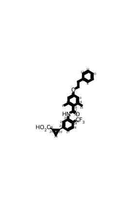 Cc1cc(OCCc2ccccc2)cc(C)c1C(=O)Nc1cc([C@H]2C[C@H]2C(=O)O)ccc1C(F)(F)F